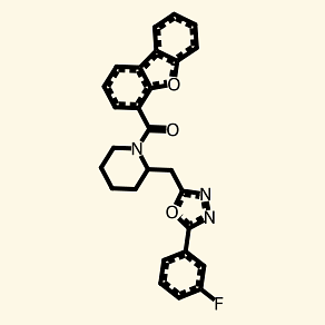 O=C(c1cccc2c1oc1ccccc12)N1CCCCC1Cc1nnc(-c2cccc(F)c2)o1